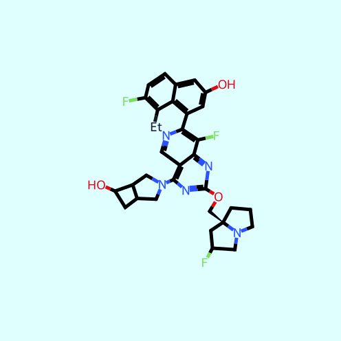 CCc1c(F)ccc2cc(O)cc(-c3ncc4c(N5CC6CC(O)C6C5)nc(OC[C@@]56CCCN5CC(F)C6)nc4c3F)c12